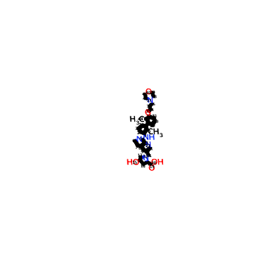 Cc1c(Nc2nccc3cc(CN4CC(O)CC4C(=O)O)cnc23)cccc1-c1cccc(OCCCN2CCOCC2)c1C